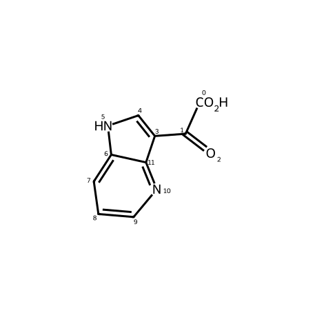 O=C(O)C(=O)c1c[nH]c2cccnc12